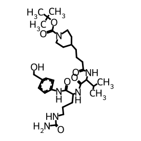 CC(C)C(NC(=O)CCCC1CCN(C(=O)OC(C)(C)C)CC1)C(=O)NC(CCCNC(N)=O)C(=O)Nc1ccc(CO)cc1